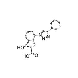 O=C(O)c1cc2c(-n3cc(-c4ccccc4)nn3)cccc2n1O